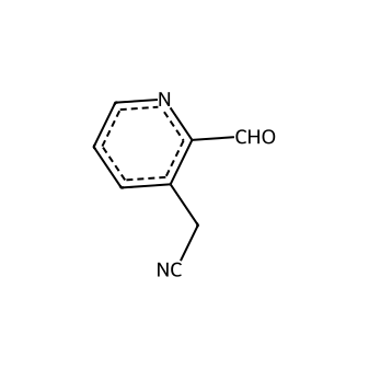 N#CCc1cccnc1C=O